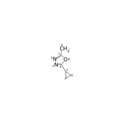 [CH2]c1nnc(C2CC2)o1